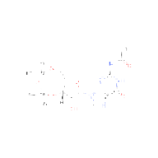 CC(C)C(=O)Nc1nc2c(ncn2C2OC3CO[Si](C(C)C)(C(C)C)O[Si](C(C)C)(C(C)C)O[C@H]3[C@H]2O)c(=O)[nH]1